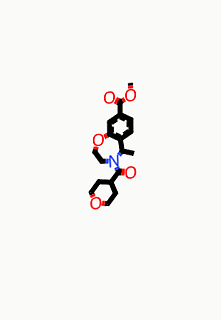 COC(=O)c1ccc2c(c1)OCCN(C(=O)C1CCOCC1)C2C